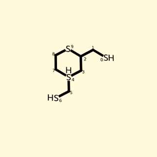 SCC1C[SH](CS)CCS1